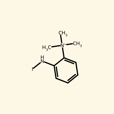 C[N+](C)(C)c1ccccc1NI